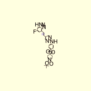 CC(C)(C)OC(=O)N1CCC(S(=O)(=O)c2ccc(Nc3ncc(/C=C/c4cc(F)cc5[nH]nnc45)cn3)cc2)CC1